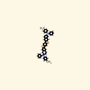 Cc1ccc(N(c2ccccc2)c2ccc3cc4c(cc3c2)oc2cc3c(cc24)oc2cc4c(cc23)C=CC(N(c2ccccc2)c2ccc(C)cc2)C4)cc1